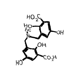 CC(=O)N(Cc1cc(O)cc(C(=O)O)c1O)Cc1cc(O)cc(C(=O)O)c1O